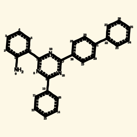 Nc1ccccc1-c1nc(-c2ccccc2)nc(-c2ccc(-c3ccccc3)cc2)n1